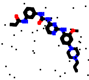 C=CC(=O)Nc1cccc(NC(=O)Nc2ccnc(Nc3ccc(N4CCN(CCC)CC4)cc3OC)n2)c1